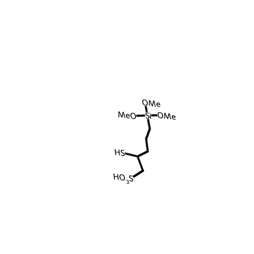 CO[Si](CCCC(S)CS(=O)(=O)O)(OC)OC